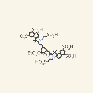 CCOC(=O)C1(C(=O)OCC)CC(/C=C/C2=[N+](CCCS(=O)(=O)O)c3ccc4c(S(=O)(=O)O)cc(S(=O)(=O)O)cc4c3C2(C)C)=CC(=C/C=C2/N(CCCS(=O)(=O)O)c3ccc4c(S(=O)(=O)O)cc(S(=O)(=O)O)cc4c3C2(C)C)/C1